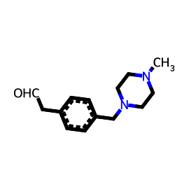 CN1CCN(Cc2ccc(CC=O)cc2)CC1